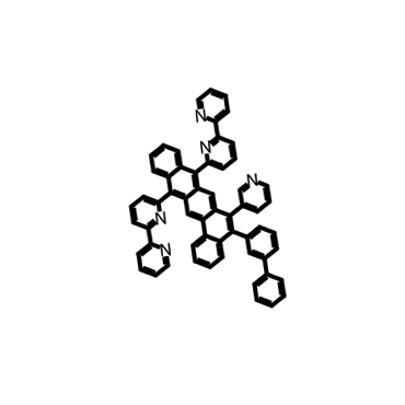 c1ccc(-c2cccc(-c3c(-c4cccnc4)c4cc5c(-c6cccc(-c7ccccn7)n6)c6ccccc6c(-c6cccc(-c7ccccn7)n6)c5cc4c4ccccc34)c2)cc1